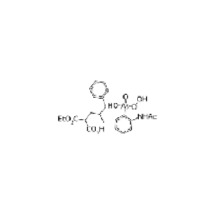 CC(=O)Nc1ccccc1[As](=O)(O)OO.CCOC(=O)C(CC(C)Cc1ccccc1)C(=O)O